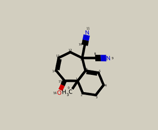 CC12CCCC=C1C(C#N)(C#N)CC=CC2=O